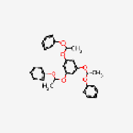 CC(Oc1ccccc1)Oc1cc(OC(C)Oc2ccccc2)cc(OC(C)Oc2ccccc2)c1